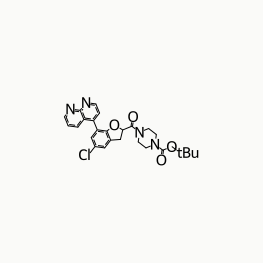 CC(C)(C)OC(=O)N1CCN(C(=O)C2Cc3cc(Cl)cc(-c4ccnc5ncccc45)c3O2)CC1